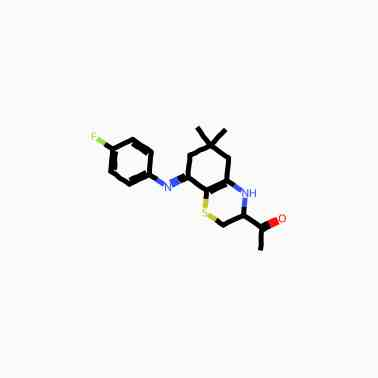 CC(=O)C1CSC2=C(CC(C)(C)C/C2=N\c2ccc(F)cc2)N1